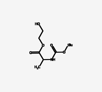 CC(NC(=O)OC(C)(C)C)C(=O)OCCO